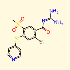 CCc1cc(Sc2ccncc2)c(S(C)(=O)=O)cc1C(=O)N=C(N)N